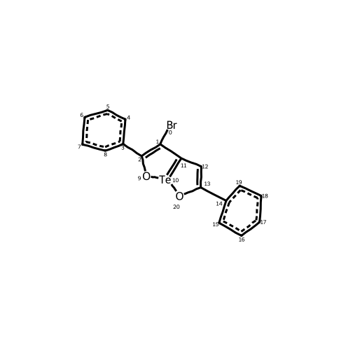 BrC1=C(c2ccccc2)O[Te]2=C1C=C(c1ccccc1)O2